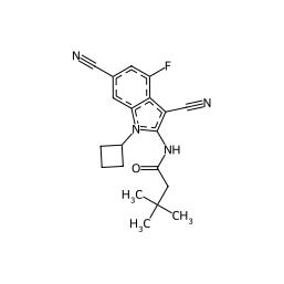 CC(C)(C)CC(=O)Nc1c(C#N)c2c(F)cc(C#N)cc2n1C1CCC1